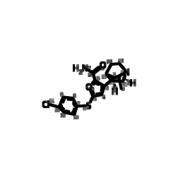 C[C@H]1[C@@H](c2cc(Sc3ccc(Cl)cc3)oc2C(N)=O)C2CCN1CC2